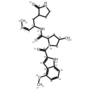 C/N=C\C(CC1CCNC1=O)NC(=O)C1CC(C)CN1C(=O)c1cc2c(OC)cccc2[nH]1